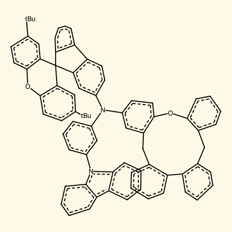 CC(C)(C)c1ccc2c(c1)C1(c3cc(C(C)(C)C)ccc3O2)c2ccccc2-c2ccc(N(c3cccc(-n4c5ccccc5c5ccccc54)c3)c3ccc4c(c3)Cc3ccccc3-c3ccccc3Cc3ccccc3O4)cc21